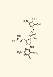 COP(=S)(OCC1OC(N)C(O)C1O)O[C@@H]1CC(Nc2nc(N)[nH]c(=S)c2N)OC1COP(O)O